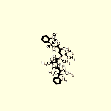 CN[C@H](C(=O)N[C@H](C(=O)N(C)[C@H](C=C(C)C(=O)NS(=O)(=O)c1ccccc1[N+](=O)[O-])C(C)C)C(C)(C)C)C(C)(C)c1ccccc1